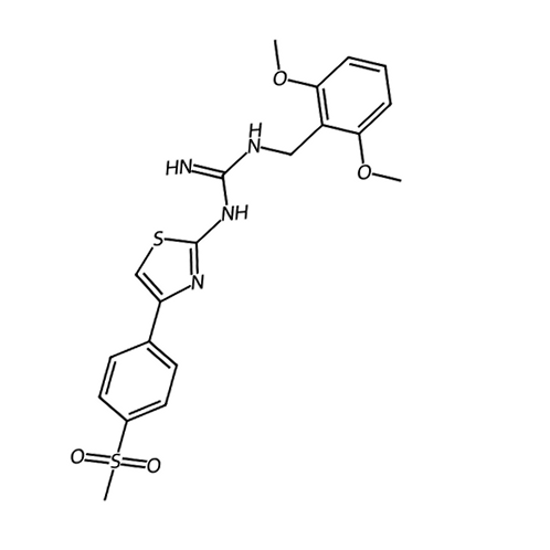 COc1cccc(OC)c1CNC(=N)Nc1nc(-c2ccc(S(C)(=O)=O)cc2)cs1